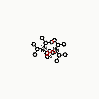 c1ccc(-c2cc(-c3ccccc3)cc(-c3nc(-c4cc(-c5ccccc5)cc(-c5ccccc5)c4)nc(-c4cccc(-c5ccccc5Sc5ccccc5-c5cccc(-c6nc(-c7cc(-c8ccccc8)cc(-c8ccccc8)c7)nc(-c7cc(-c8ccccc8)cc(-c8ccccc8)c7)n6)c5)c4)n3)c2)cc1